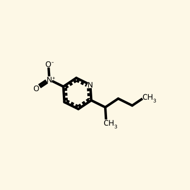 CCCC(C)c1ccc([N+](=O)[O-])cn1